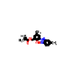 C=C(C)C(=O)OCc1cc(C)cc(-n2nc3ccc(C)cc3n2)c1O